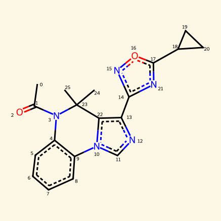 CC(=O)N1c2ccccc2-n2cnc(-c3noc(C4CC4)n3)c2C1(C)C